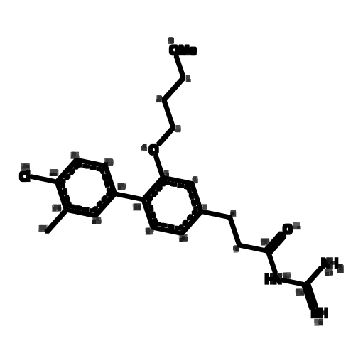 COCCCOc1cc(CCC(=O)NC(=N)N)ccc1-c1ccc(Cl)c(C)c1